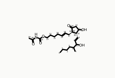 CCCCC(C)C(O)C=C[C@H]1C(O)CC(=O)[C@@H]1CC=CCCCCOC(=O)NC(C)=O